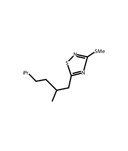 CSc1nsc(CC(C)CCC(C)C)n1